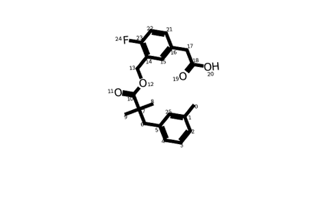 Cc1cccc(CC(C)(C)C(=O)OCc2cc(CC(=O)O)ccc2F)c1